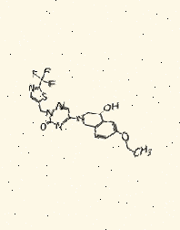 CCOc1ccc2c(c1)C(O)CN(c1cnn(Cc3cnc(C(F)(F)F)s3)c(=O)n1)C2